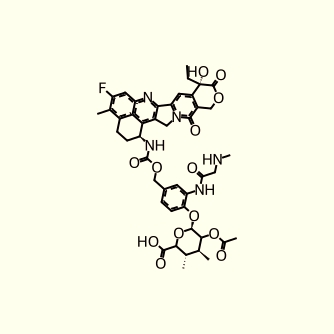 CC[C@@]1(O)C(=O)OCc2c1cc1n(c2=O)Cc2c-1nc1cc(F)c(C)c3c1c2[C@@H](NC(=O)OCc1ccc(O[C@@H]2OC(C(=O)O)[C@@H](C)[C@H](C)C2OC(C)=O)c(NC(=O)CNC)c1)CC3